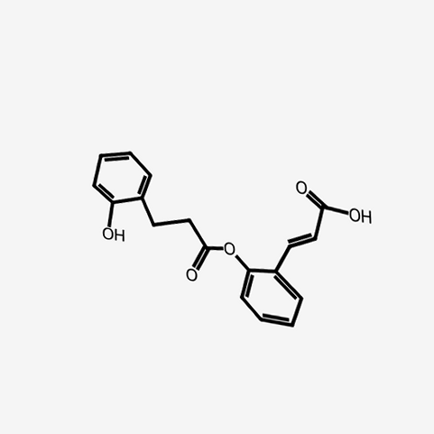 O=C(O)C=Cc1ccccc1OC(=O)CCc1ccccc1O